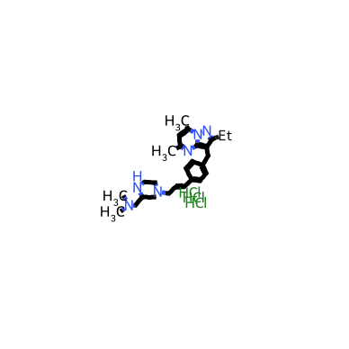 CCc1nn2c(C)cc(C)nc2c1Cc1ccc(C=CCN2CCNC(CN(C)C)C2)cc1.Cl.Cl.Cl